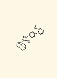 CSc1ccccc1-c1ccc(NC(=O)OC23CC4CC(CC(C4)C2)C3)cc1